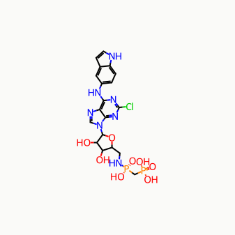 O=P(O)(O)CP(=O)(O)NCC1OC(n2cnc3c(Nc4ccc5[nH]ccc5c4)nc(Cl)nc32)C(O)C1O